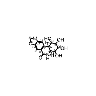 O=C1N[C@H]2[C@H](O)[C@H](O)[C@H](O)[C@H](O)[C@@H]2c2cc3c(cc21)OCO3